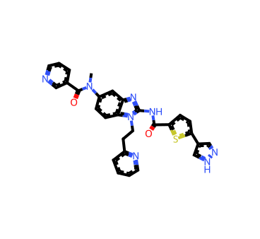 CN(C(=O)c1cccnc1)c1ccc2c(c1)nc(NC(=O)c1ccc(-c3cn[nH]c3)s1)n2CCc1ccccn1